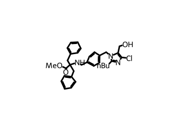 CCCCc1nc(Cl)c(CO)n1Cc1ccc(CNC(Cc2ccccc2)(Cc2ccccc2)C(=O)OC)cc1